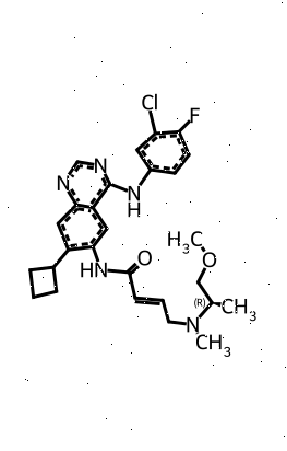 COC[C@@H](C)N(C)CC=CC(=O)Nc1cc2c(Nc3ccc(F)c(Cl)c3)ncnc2cc1C1CCC1